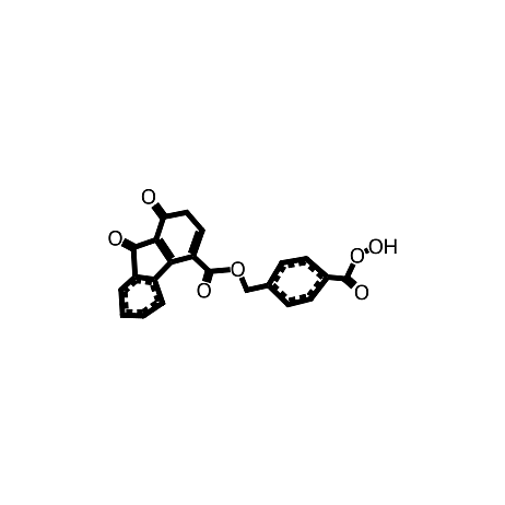 O=C1CC=C(C(=O)OCc2ccc(C(=O)OO)cc2)C2=C1C(=O)c1ccccc12